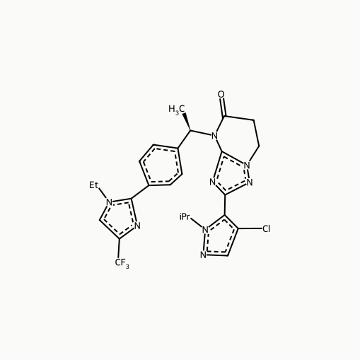 CCn1cc(C(F)(F)F)nc1-c1ccc([C@@H](C)N2C(=O)CCn3nc(-c4c(Cl)cnn4C(C)C)nc32)cc1